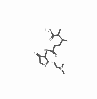 CC(C[CH]C(=O)NC1C(=O)CO[C@H]1CCN(C)C)C(C)C(N)=O